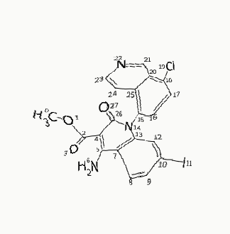 COC(=O)c1c(N)c2ccc(I)cc2n(-c2ccc(Cl)c3cnccc23)c1=O